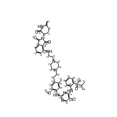 C=C1CCC(N2C(=O)c3cccc(NCCN4CCN(CCc5cc(OC)c(Nc6ncc(Cl)c(Nc7ccccc7S(=O)(=O)C(C)C)n6)cc5C)CC4)c3C2=O)C(=O)N1